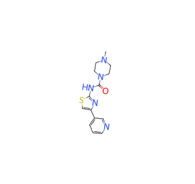 CN1CCN(C(=O)Nc2nc(-c3cccnc3)cs2)CC1